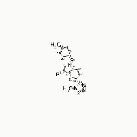 Cc1ccc(Sn2cc(Br)c3cc(-c4nncn4C)ccc32)cc1